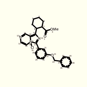 COC(=O)C1CCCCC1C1=C2C=NC=C[N+]2(Cl)C(c2cccc(OCc3ccccc3)c2)=N1